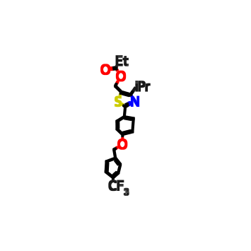 CCC(=O)OCc1sc(-c2ccc(OCc3ccc(C(F)(F)F)cc3)cc2)nc1C(C)C